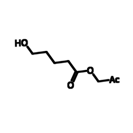 CC(=O)COC(=O)CCCCO